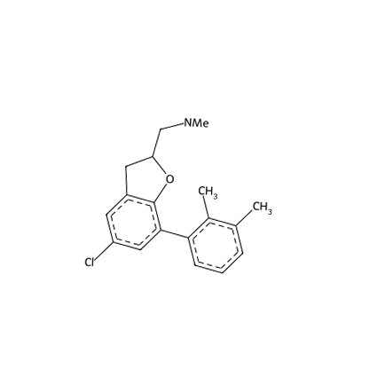 CNCC1Cc2cc(Cl)cc(-c3cccc(C)c3C)c2O1